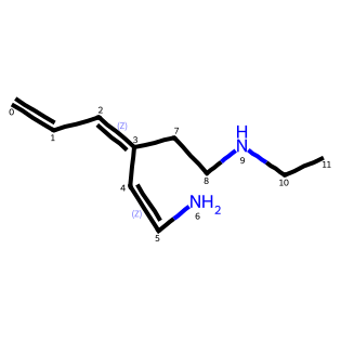 C=C/C=C(\C=C/N)CCNCC